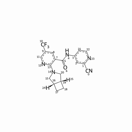 N#Cc1cc(NC(=O)c2cc(C(F)(F)F)cnc2N2C[C@H]3CC[C@H]3C2)ccn1